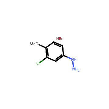 Br.COc1ccc(NN)cc1Cl